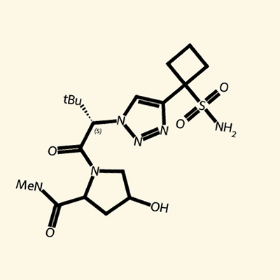 CNC(=O)C1CC(O)CN1C(=O)[C@@H](n1cc(C2(S(N)(=O)=O)CCC2)nn1)C(C)(C)C